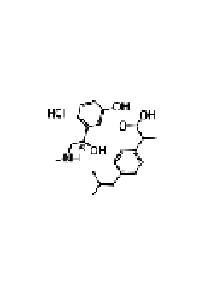 CC(C)Cc1ccc(C(C)C(=O)O)cc1.CNC[C@H](O)c1cccc(O)c1.Cl